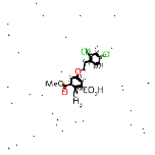 COC(=O)c1cc(OCCc2ccc(Cl)cc2Cl)cc(C(=O)O)c1C